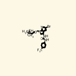 C[Si](C)(C)CCOCn1cc(NC(=O)Nc2ccc(C(F)(F)F)cc2)c2cc(Br)cnc21